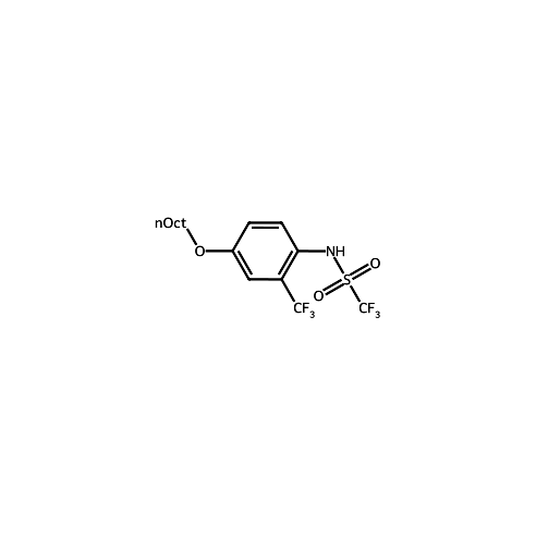 CCCCCCCCOc1ccc(NS(=O)(=O)C(F)(F)F)c(C(F)(F)F)c1